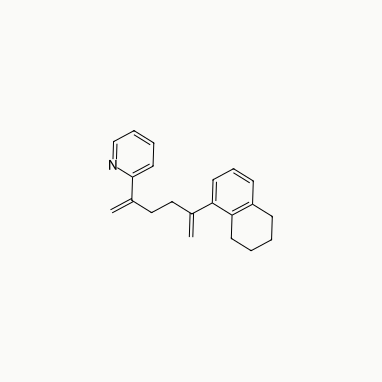 C=C(CCC(=C)c1cccc2c1CCCC2)c1ccccn1